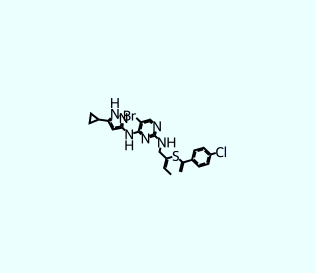 C=C(S/C(=C\C)CNc1ncc(Br)c(Nc2cc(C3CC3)[nH]n2)n1)c1ccc(Cl)cc1